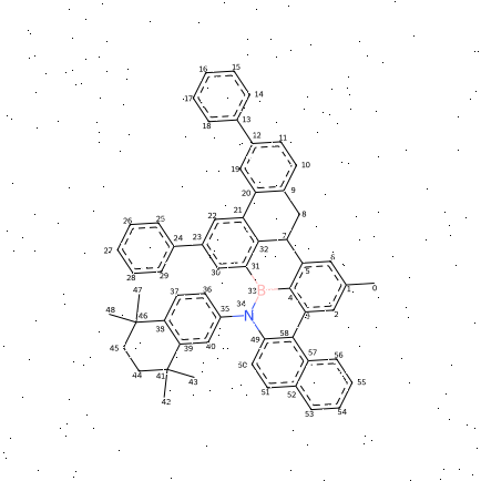 Cc1cc2c3c(c1)C1Cc4ccc(-c5ccccc5)cc4-c4cc(-c5ccccc5)cc(c41)B3N(c1ccc3c(c1)C(C)(C)CCC3(C)C)c1ccc3ccccc3c1-2